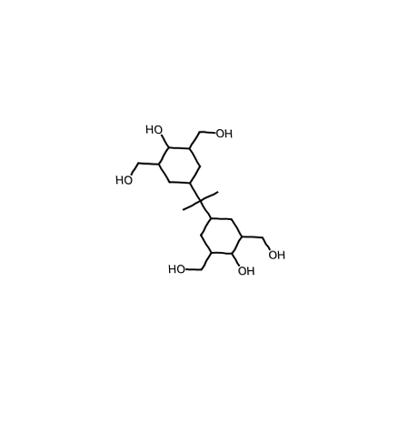 CC(C)(C1CC(CO)C(O)C(CO)C1)C1CC(CO)C(O)C(CO)C1